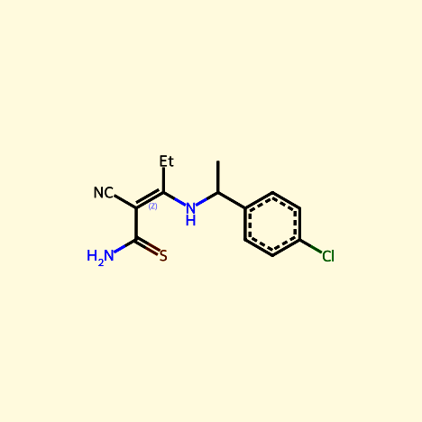 CC/C(NC(C)c1ccc(Cl)cc1)=C(\C#N)C(N)=S